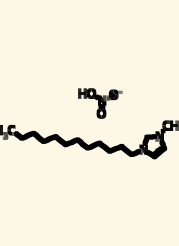 CCCCCCCCCCCCN1C=CN(C)C1.O=[N+]([O-])O